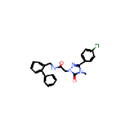 Cn1c(-c2ccc(Cl)cc2)nn(CC(=O)NCc2ccccc2-c2ccccc2)c1=O